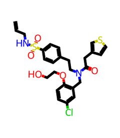 C=CCNS(=O)(=O)c1ccc(CCN(Cc2cc(Cl)ccc2OCCO)C(=O)Cc2ccsc2)cc1